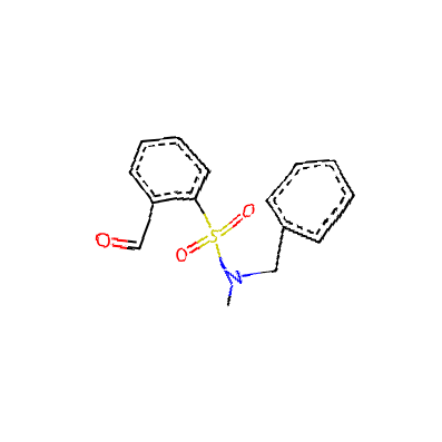 CN(Cc1ccccc1)S(=O)(=O)c1ccccc1C=O